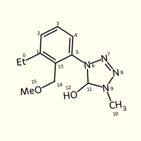 CCc1cccc(N2N=NN(C)C2O)c1COC